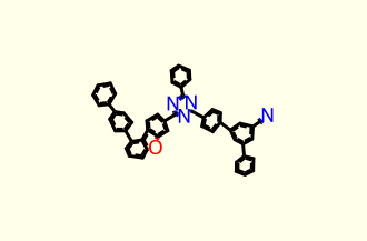 N#Cc1cc(-c2ccccc2)cc(-c2ccc(-c3nc(-c4ccccc4)nc(-c4ccc5c(c4)oc4cccc(-c6ccc(-c7ccccc7)cc6)c45)n3)cc2)c1